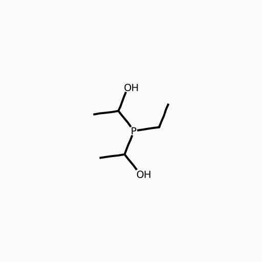 CCP(C(C)O)C(C)O